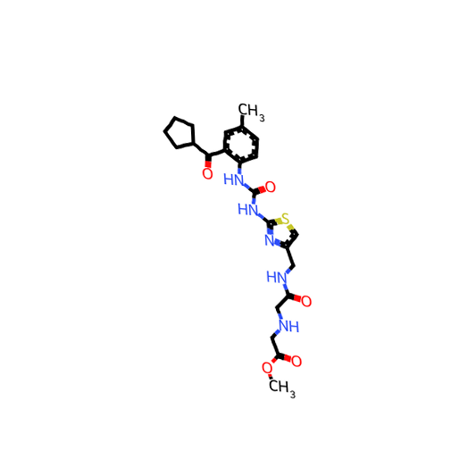 COC(=O)CNCC(=O)NCc1csc(NC(=O)Nc2ccc(C)cc2C(=O)C2CCCC2)n1